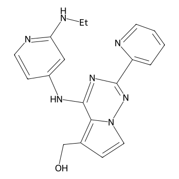 CCNc1cc(Nc2nc(-c3ccccn3)nn3ccc(CO)c23)ccn1